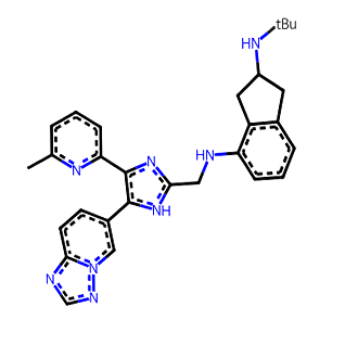 Cc1cccc(-c2nc(CNc3cccc4c3CC(NC(C)(C)C)C4)[nH]c2-c2ccc3ncnn3c2)n1